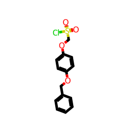 O=S(=O)(Cl)COc1ccc(OCc2ccccc2)cc1